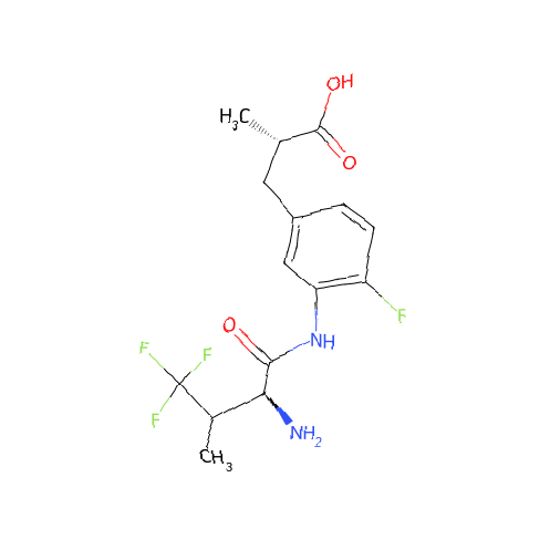 CC([C@H](N)C(=O)Nc1cc(C[C@H](C)C(=O)O)ccc1F)C(F)(F)F